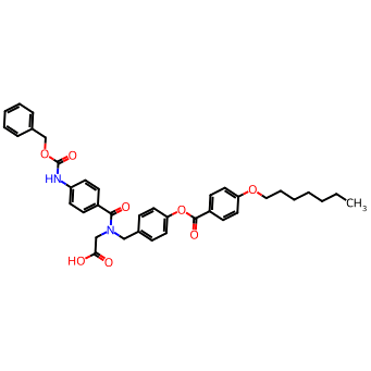 CCCCCCCOc1ccc(C(=O)Oc2ccc(CN(CC(=O)O)C(=O)c3ccc(NC(=O)OCc4ccccc4)cc3)cc2)cc1